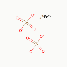 O=S(=O)([O-])[O-].O=S(=O)([O-])[O-].[Fe+2].[S+2]